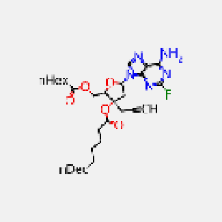 C#CC[C@]1(OC(=O)CCCCCCCCCCCCCC)C[C@H](n2cnc3c(N)nc(F)nc32)O[C@@H]1COC(=O)CCCCCC